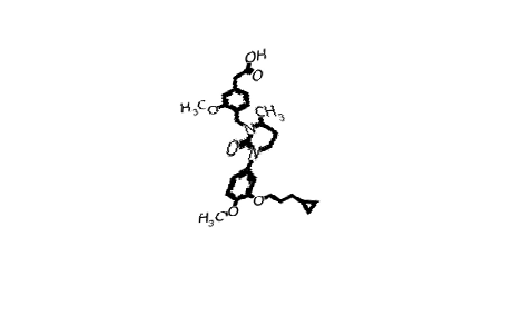 COc1cc(CC(=O)O)ccc1CN1C(=O)N(c2ccc(OC)c(OCCCC3CC3)c2)CCC1C